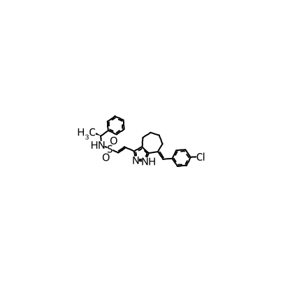 C[C@H](NS(=O)(=O)/C=C/c1n[nH]c2c1CCCC/C2=C\c1ccc(Cl)cc1)c1ccccc1